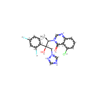 C[C@@H](n1cnc2cccc(Cl)c2c1=O)[C@](O)(Cn1cncn1)c1ccc(F)cc1F